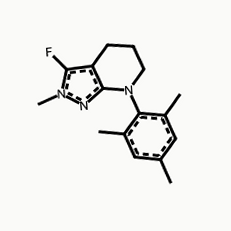 Cc1cc(C)c(N2CCCc3c2nn(C)c3F)c(C)c1